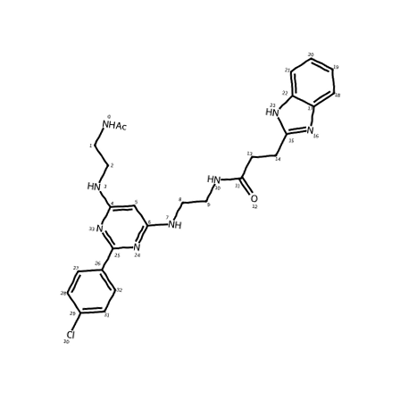 CC(=O)NCCNc1cc(NCCNC(=O)CCc2nc3ccccc3[nH]2)nc(-c2ccc(Cl)cc2)n1